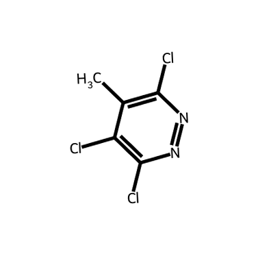 Cc1c(Cl)nnc(Cl)c1Cl